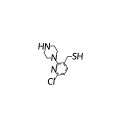 SCc1ccc(Cl)nc1N1CCNCC1